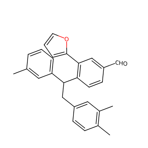 Cc1cccc(C(Cc2ccc(C)c(C)c2)c2ccc(C=O)cc2-c2ccco2)c1